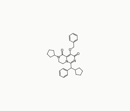 O=C1c2c(OCc3ccccc3)c(=O)nc(C(c3ccccc3)C3CCCC3)n2CCN1C1CCCC1